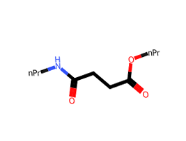 CCCNC(=O)CCC(=O)OCCC